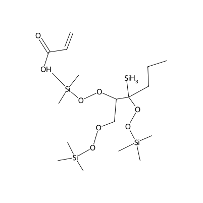 C=CC(=O)O.CCCC([SiH3])(OO[Si](C)(C)C)C(COO[Si](C)(C)C)OO[Si](C)(C)C